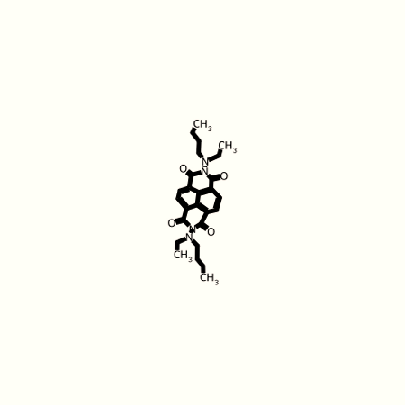 CCCCN(CC)N1C(=O)c2ccc3c4c(ccc(c24)C1=O)C(=O)N(N(CC)CCCC)C3=O